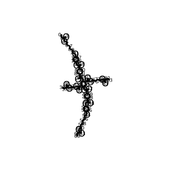 C=CC(=O)OCCCCCCOc1ccc(OC(=O)C2CCC(C(=O)Oc3cc(C(=O)OCCOC(=O)C=C)c(OC(=O)C4CCC(C(=O)Oc5ccc(OCCCCCCOC(=O)C=C)cc5)CC4)cc3C(=O)OCCCCOC(=O)C=C)CC2)cc1